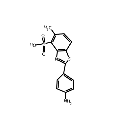 Cc1ccc2sc(-c3ccc(N)cc3)nc2c1S(=O)(=O)O